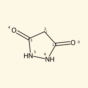 O=C1[C]C(=O)NN1